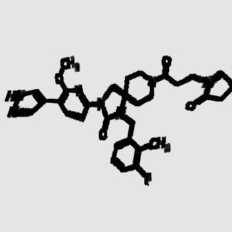 COc1nc(N2CC3(CCN(C(=O)CCN4CCCC4=O)CC3)N(Cc3cccc(F)c3C)C2=O)ccc1-c1cn[nH]c1